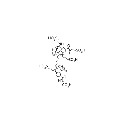 CC1(C)C(/C=C/CC/C=C2/N(CCCS(=O)(=O)O)c3ccc(C(=O)NCC(=O)O)cc3C2(C)C)=[N+](CCCS(=O)(=O)O)c2cc(C(=O)NCCS(=O)(=O)O)cc(C(=O)NCCS(=O)(=O)O)c21